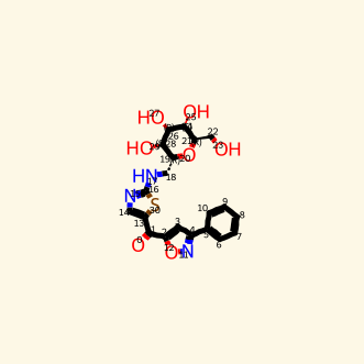 O=C(c1cc(-c2ccccc2)no1)c1cnc(NC[C@H]2O[C@H](CO)[C@@H](O)[C@H](O)[C@@H]2O)s1